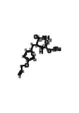 C#CCOc1ccc(C[C@H](NC(=O)OC(C)(C)C)C(N)=O)cc1